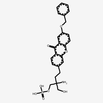 NC(CO)(CCc1ccc2c(=O)c3cc(OCc4ccccc4)ccc3oc2c1)COP(=O)(O)O